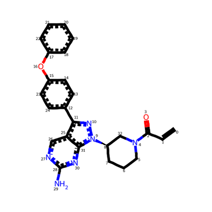 C=CC(=O)N1CCC[C@@H](n2nc(-c3ccc(Oc4ccccc4)cc3)c3cnc(N)nc32)C1